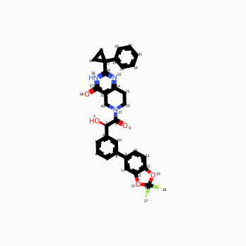 O=C([C@H](O)c1cccc(-c2ccc3c(c2)OC(F)(F)O3)c1)N1CCc2nc(C3(c4ccccc4)CC3)[nH]c(=O)c2C1